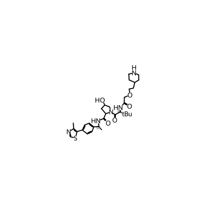 Cc1ncsc1-c1ccc([C@H](C)NC(=O)C2CC(O)CN2C(=O)[C@@H](NC(=O)COCCC2CCNCC2)C(C)(C)C)cc1